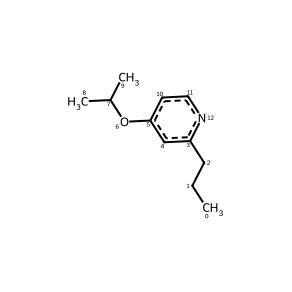 CCCc1cc(OC(C)C)ccn1